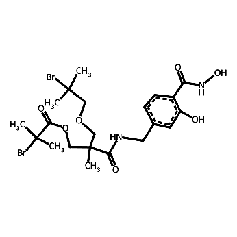 CC(C)(Br)COCC(C)(COC(=O)C(C)(C)Br)C(=O)NCc1ccc(C(=O)NO)c(O)c1